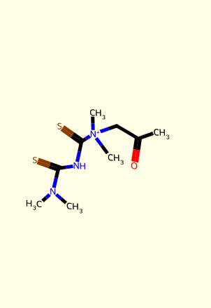 CC(=O)C[N+](C)(C)C(=S)NC(=S)N(C)C